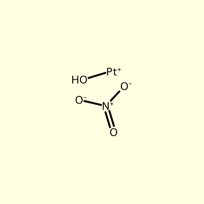 O=[N+]([O-])[O-].[OH][Pt+]